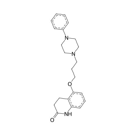 O=C1CCc2c(cccc2OCCCN2CCN(c3ccccc3)CC2)N1